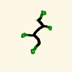 Cl[CH]C(Cl)C(Cl)CCl